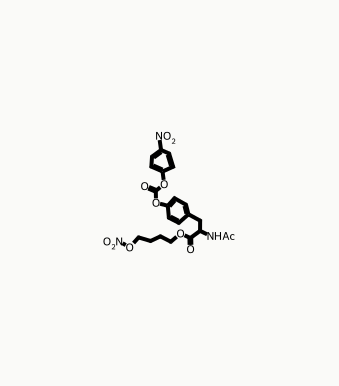 CC(=O)NC(Cc1ccc(OC(=O)Oc2ccc([N+](=O)[O-])cc2)cc1)C(=O)OCCCCO[N+](=O)[O-]